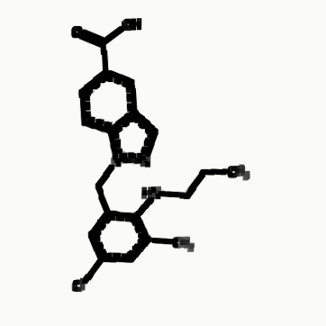 CCCNc1c(C)cc(Cl)cc1Cn1ncc2cc(C(=O)O)ccc21